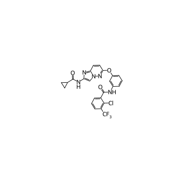 O=C(Nc1cccc(Oc2ccc3nc(NC(=O)C4CC4)cn3n2)c1)c1cccc(C(F)(F)F)c1Cl